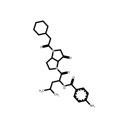 CC(C)CC(NC(=O)c1ccc(N)cc1)C(=O)N1CCC2C1C(=O)CN2C(=O)CC1CCCCC1